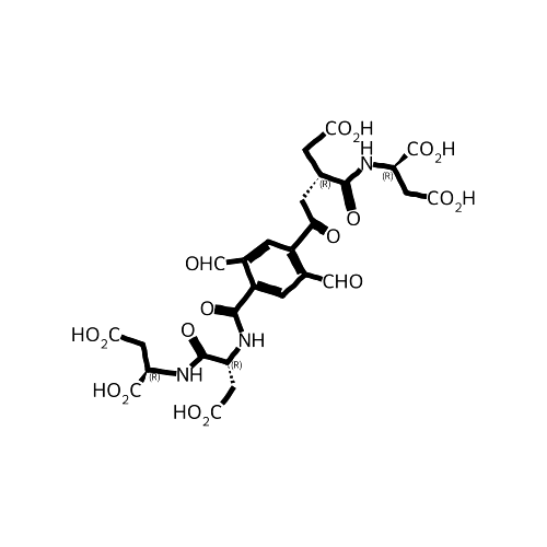 O=Cc1cc(C(=O)N[C@H](CC(=O)O)C(=O)N[C@H](CC(=O)O)C(=O)O)c(C=O)cc1C(=O)C[C@H](CC(=O)O)C(=O)N[C@H](CC(=O)O)C(=O)O